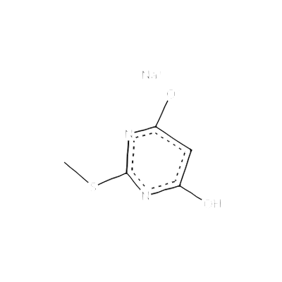 CSc1nc([O-])cc(O)n1.[Na+]